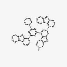 C1=Cc2c(oc3cc(-c4cccc5oc6ccccc6c45)cc(-c4nc(-c5ccccc5)nc(-c5cccc6c5sc5ccccc56)n4)c23)CN1